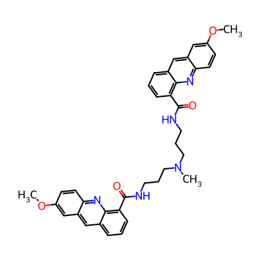 COc1ccc2nc3c(C(=O)NCCCN(C)CCCNC(=O)c4cccc5cc6cc(OC)ccc6nc45)cccc3cc2c1